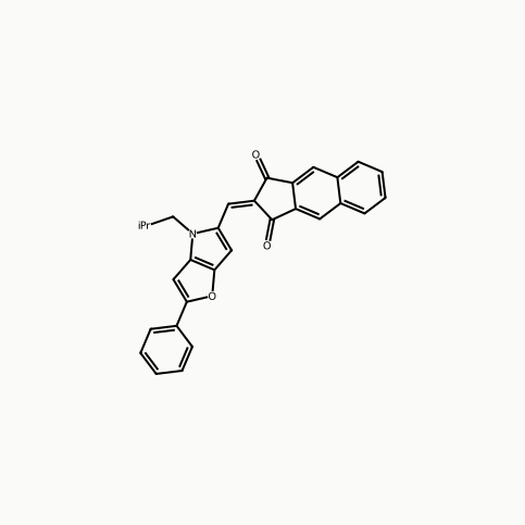 CC(C)Cn1c(C=C2C(=O)c3cc4ccccc4cc3C2=O)cc2oc(-c3ccccc3)cc21